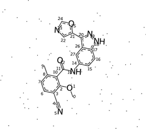 COc1c(C#N)ccc(C)c1C(=O)Nc1ccc2[nH]nc(-c3cnco3)c2c1